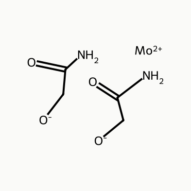 NC(=O)C[O-].NC(=O)C[O-].[Mo+2]